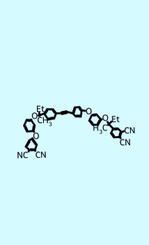 CCC(C)(Oc1cccc(Oc2ccc(C#N)c(C#N)c2)c1)c1ccc(C#Cc2ccc(Oc3cccc(OC(C)(CC)c4ccc(C#N)c(C#N)c4)c3)cc2)cc1